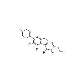 CCCC1=CC2=C(c3c(cc(C4=CCC(I)CC4)c(F)c3F)C2)C(F)C1F